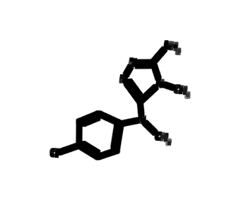 CN(c1ccc(Cl)cc1)c1nnc(N)n1C